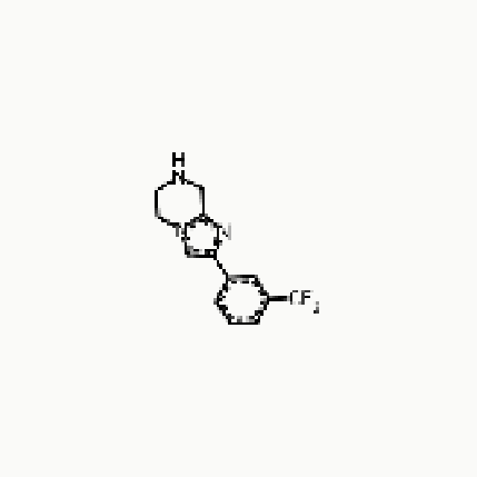 FC(F)(F)c1cccc(-c2cn3c(n2)CNCC3)c1